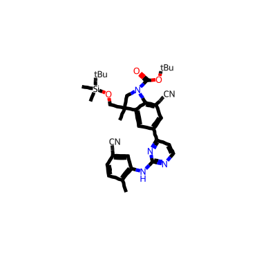 Cc1ccc(C#N)cc1Nc1nccc(-c2cc(C#N)c3c(c2)C(C)(CO[Si](C)(C)C(C)(C)C)CN3C(=O)OC(C)(C)C)n1